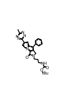 Cc1nnc(-c2ccn3c4c(c(-c5ccccc5)c3c2)CN(CCCNC(=O)OC(C)(C)C)C4=O)nn1